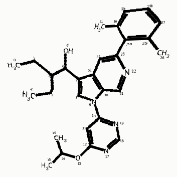 CCC(CC)C(O)c1cn(-c2cc(OC(C)C)ncn2)c2cnc(-c3c(C)cccc3C)cc12